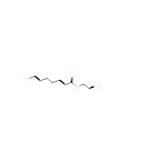 C=CCNC(=O)C=CCCC=CCC